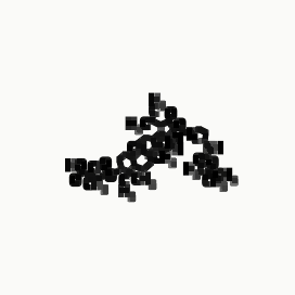 CC(C)C1=C2C3CCC4[C@@]5(C)CC[C@H](OC(=O)CC(C)(C)C(=O)O)C(C)(C)C5CC[C@@]4(C)[C@]3(C)CC[C@@]2(NC(=O)N2CC[C@H](NC(=O)OC(C)(C)C)C2)CC1=O